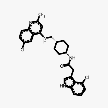 O=C(Cc1c[nH]c2cccc(Cl)c12)N[C@H]1CC[C@@H](CNc2cc(C(F)(F)F)nc3ccc(Cl)cc23)CC1